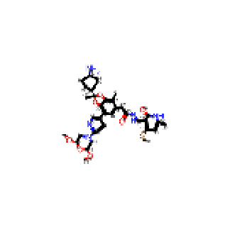 CO[C@H]1CN(c2ccc(-c3cc(CC(=O)NCc4c(SC)cc(C)[nH]c4=O)c(C)c4c3OC(C)([C@H]3CC[C@H](N)CC3)O4)cn2)C[C@@H](OC)O1